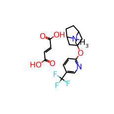 CN1C2CCC1CC(Oc1ccc(C(F)(F)F)cn1)C2.O=C(O)/C=C/C(=O)O